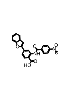 O=C(Nc1cc(-c2cc3ccccc3o2)ccc1C(=O)O)c1ccc([N+](=O)[O-])cc1